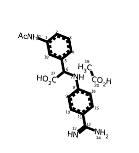 CC(=O)Nc1cccc(C(Nc2ccc(C(=N)N)cc2)C(=O)O)c1.CC(=O)O